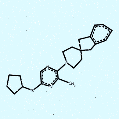 Cc1nc(SC2CCCC2)cnc1N1CCC2(CC1)Cc1ccccc1C2